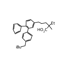 CCC(C)Cc1ccc(-c2cc(CCCC(C)(CC)C(=O)O)ccc2-c2ccccc2)cc1